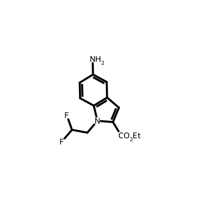 CCOC(=O)c1cc2cc(N)ccc2n1CC(F)F